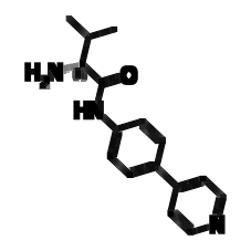 CC(C)[C@@H](N)C(=O)Nc1ccc(-c2ccncc2)cc1